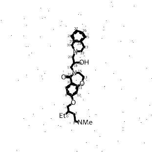 CCC(CCNC)COc1ccc2c(c1)OCCN(CC(O)CN1CCc3ccccc3C1)C2=O